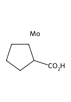 O=C(O)C1CCCC1.[Mo]